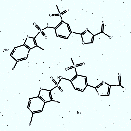 Cc1c(S(=O)(=O)Nc2ccc(-c3nc(C(=O)[O-])co3)cc2S(C)(=O)=O)sc2ccc(F)cc12.Cc1c(S(=O)(=O)Nc2ccc(-c3nc(C(=O)[O-])co3)cc2S(C)(=O)=O)sc2ccc(F)cc12.[Na+].[Na+]